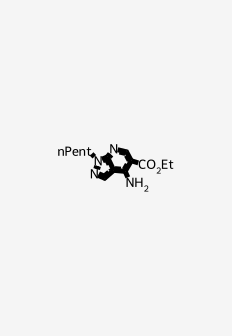 CCCCCn1ncc2c(N)c(C(=O)OCC)cnc21